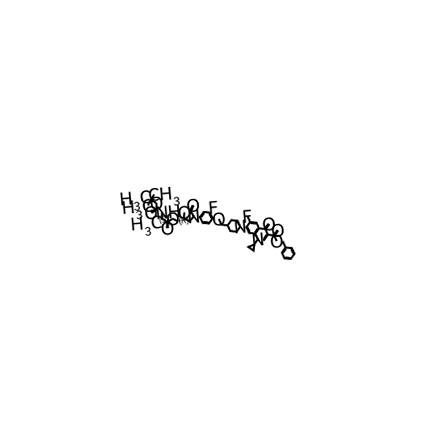 C[C@H](NC(=O)OC(C)(C)C)C(=O)OC[C@H]1CN(c2ccc(OCC3CCN(c4cc5c(cc4F)c(=O)c(C(=O)OCc4ccccc4)cn5C4CC4)CC3)c(F)c2)C(=O)O1